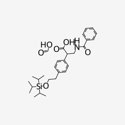 CC(C)[Si](OCCc1ccc(C(CNC(=O)c2ccccc2)C(=O)O)cc1)(C(C)C)C(C)C.O=CO